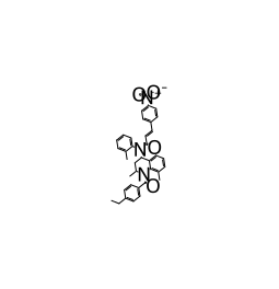 CCc1ccc(C(=O)N2c3c(C)cccc3C(N(C(=O)C=Cc3ccc([N+](=O)[O-])cc3)c3ccccc3C)CC2C)cc1